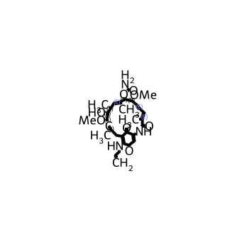 C=CCNC1=C2C[C@@H](C)C[C@H](OC)[C@H](O)[C@@H](C)/C=C(\C)[C@H](OC(N)=O)[C@H](OC)/C=C/C=C(\C)C(=O)NC(=CC1=O)C2=O